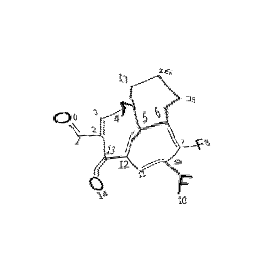 O=Cc1cn2c3c(c(F)c(F)cc3c1=O)CCC2